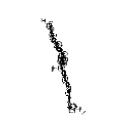 C=CC(=O)OCCOC(=O)Oc1ccc(C(=O)Oc2ccc(C(=O)O[C@@H]3CO[C@H]4[C@@H]3OC[C@@H]4OC(O)c3ccc(OC(=O)c4ccc(OC(=O)OCCOC(=O)C=C)cc4)cc3)cc2)cc1